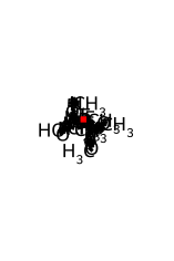 COc1ccc(CN(Cc2ccc(OC)cc2)c2cc(C)c(C(F)(F)F)c(C3Cc4nc(OC[C@@H]5CCCN5C)nc(N5CCN(C(=O)O)C[C@@H]5C)c4CC3C)n2)cc1